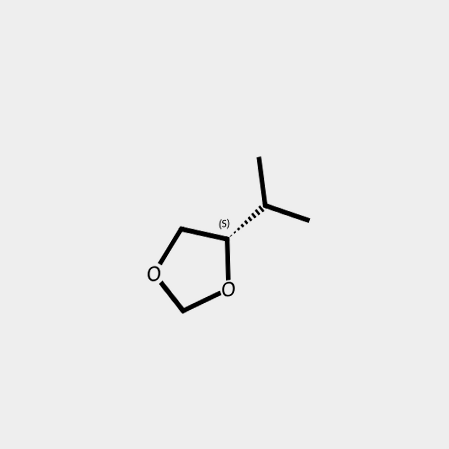 CC(C)[C@H]1COCO1